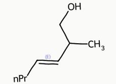 [CH2]CC/C=C/C(C)CO